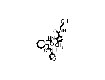 Cc1csc(C(=O)NCCO)c1NC(=O)C[N+]1(CC(=O)Nc2ccon2)CCCCCC1